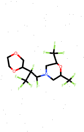 FC(N1CC(C(F)(F)F)OC(C(F)(F)F)C1)C(F)(C1COCCO1)C(F)(F)F